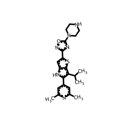 Cc1cc(-c2[nH]c3cc(-c4noc(N5CCNCC5)n4)sc3c2C(C)C)cc(C)n1